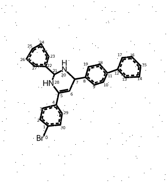 Brc1ccc(C2=CC(c3ccc(-c4ccccc4)cc3)NC(c3ccccc3)N2)cc1